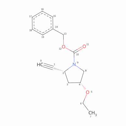 C#C[C@H]1C[C@@H](OCC)CN1C(=O)OCc1ccccc1